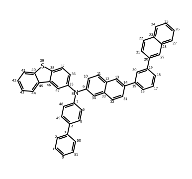 c1ccc(-c2ccc(N(c3ccc4cc(-c5cccc(-c6ccc7ccccc7c6)c5)ccc4c3)c3ccc4sc5ccccc5c4c3)cc2)cc1